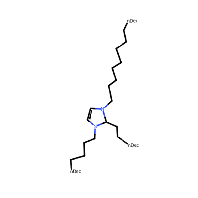 CCCCCCCCCCCCCCCCCCN1C=CN(CCCCCCCCCCCCCC)C1CCCCCCCCCCCC